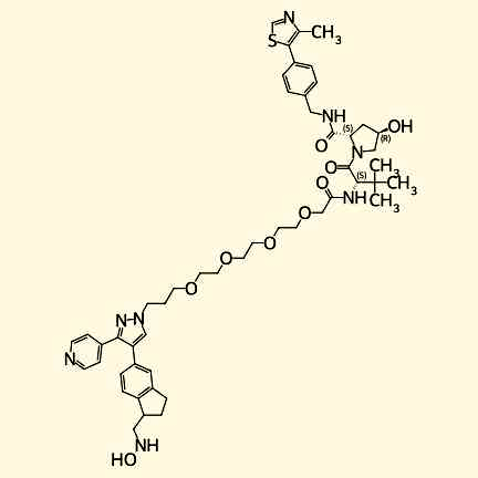 Cc1ncsc1-c1ccc(CNC(=O)[C@@H]2C[C@@H](O)CN2C(=O)[C@@H](NC(=O)COCCOCCOCCOCCCn2cc(-c3ccc4c(c3)CCC4CNO)c(-c3ccncc3)n2)C(C)(C)C)cc1